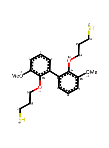 COc1cccc(-c2cccc(OC)c2OCCCS)c1OCCCS